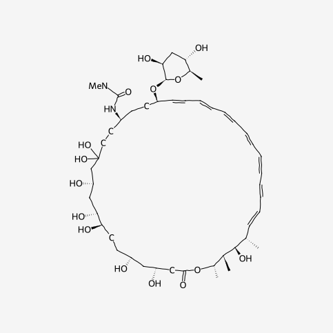 CNC(=O)N[C@H]1CC[C@@H](O[C@@H]2O[C@H](C)[C@@H](O)C[C@@H]2O)/C=C/C=C/C=C/C=C/C=C/C=C/C=C/[C@H](C)[C@@H](O)[C@@H](C)[C@H](C)OC(=O)C[C@H](O)C[C@H](O)CC[C@@H](O)[C@H](O)C[C@H](O)CC(O)(O)CC1